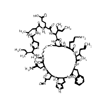 C=CCC(C)C1NC(=O)C(CCCN)NC(=O)C(NC(=O)C(NC(=O)C(CCC(=O)O)NC(=O)C(CC(C)N)NC(=O)C2CSC(C(N)C(C)CC)=N2)C(C)CC)CCCCN(N)C(=O)C(CC(N)=O)NC(=O)C(CC(=O)N=O)NC(=O)C(Cc2c[nH]cn2)NC(=O)C(Cc2ccccc2)NC1=O